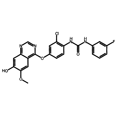 COc1cc2c(Oc3ccc(NC(=O)Nc4cccc(F)c4)c(Cl)c3)ncnc2cc1O